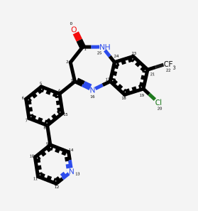 O=C1CC(c2cccc(-c3cccnc3)c2)=Nc2cc(Cl)c(C(F)(F)F)cc2N1